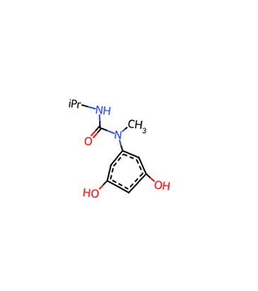 CC(C)NC(=O)N(C)c1cc(O)cc(O)c1